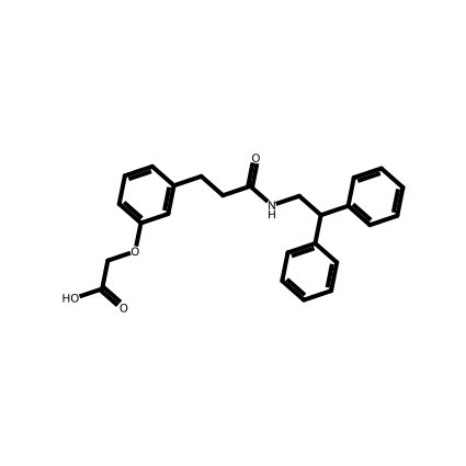 O=C(O)COc1cccc(CCC(=O)NCC(c2ccccc2)c2ccccc2)c1